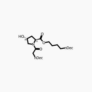 CCCCCCCCCCCCCCOC(=O)[C@@H]1C[C@@H](O)CN1C(=O)CCCCCCCCCCC